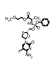 COCCOC(=O)[C@H](C)N[P@](=O)(OC[C@@H]1O[C@H](n2cc(F)c(N)nc2=O)CS1)Oc1ccccc1